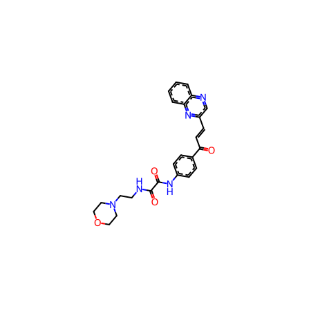 O=C(NCCN1CCOCC1)C(=O)Nc1ccc(C(=O)C=Cc2cnc3ccccc3n2)cc1